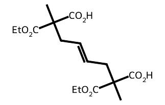 CCOC(=O)C(C)(C/C=C/CC(C)(C(=O)O)C(=O)OCC)C(=O)O